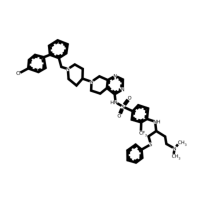 CN(C)CCC(CSc1ccccc1)Nc1ccc(S(=O)(=O)Nc2ncnc3c2CCN(C2CCN(Cc4ccccc4-c4ccc(Cl)cc4)CC2)C3)cc1C(F)(F)F